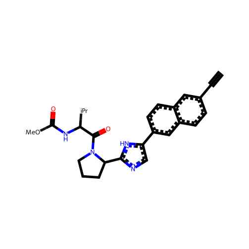 C#Cc1ccc2cc(-c3cnc(C4CCCN4C(=O)C(NC(=O)OC)C(C)C)[nH]3)ccc2c1